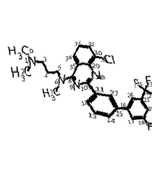 CN(C)CCCN(C)c1nc(-c2cccc(-c3cc(F)cc(C(F)(F)F)c3)c2)nc2c(Cl)cccc12